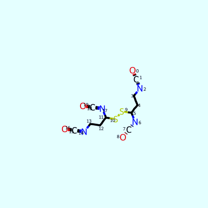 O=C=NCCC(N=C=O)SSC(CCN=C=O)N=C=O